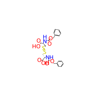 O=C(N[C@@H](CSSC[C@H](NC(=O)OCc1ccccc1)C(=O)O)C(=O)O)OCc1ccccc1